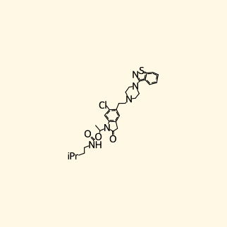 CC(C)CCNC(=O)OC(C)N1C(=O)Cc2cc(CCN3CCN(c4nsc5ccccc45)CC3)c(Cl)cc21